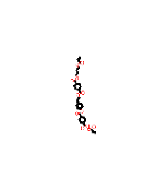 C=CC(=O)OCCCCOC(=O)C1CCC(C(=O)OCCc2ccc(OC(=O)C3CCC(C(=O)OOC(=O)C=C)CC3)cc2)CC1